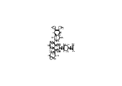 COc1cc2c(cc1OC)CN(c1ncnc3c(N4CCOCC4)nc(N4CCC(N(C)C)CC4)nc13)CC2